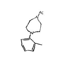 CC(=O)N1CCN(c2ccccc2C)CC1